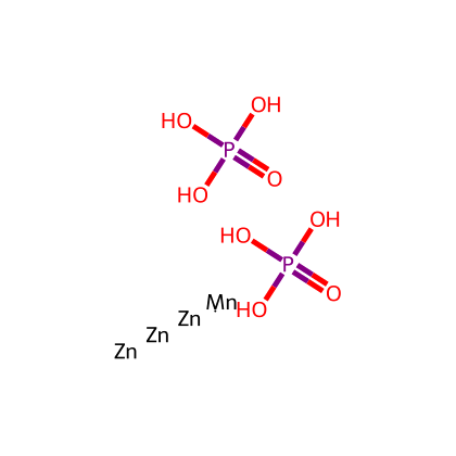 O=P(O)(O)O.O=P(O)(O)O.[Mn].[Zn].[Zn].[Zn]